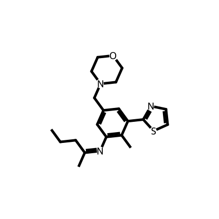 CCC/C(C)=N\c1cc(CN2CCOCC2)cc(-c2nccs2)c1C